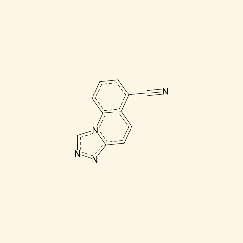 N#Cc1cccc2c1ccc1nncn12